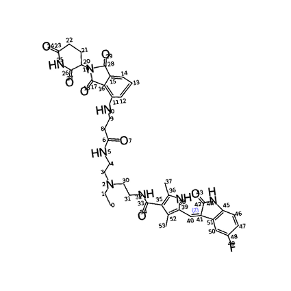 CCN(CCNC(=O)CCNc1cccc2c1C(=O)N(C1CCC(=O)NC1=O)C2=O)CCNC(=O)c1c(C)[nH]c(/C=C2\C(=O)Nc3ccc(F)cc32)c1C